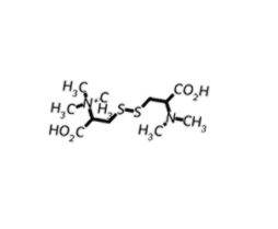 CN(C)C(CSSCC(C(=O)O)[N+](C)(C)C)C(=O)O